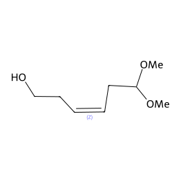 COC(C/C=C\CCO)OC